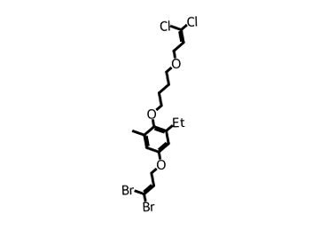 CCc1cc(OCC=C(Br)Br)cc(C)c1OCCCCOCC=C(Cl)Cl